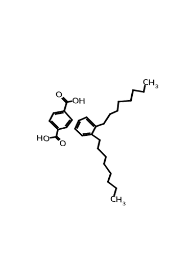 CCCCCCCCc1ccccc1CCCCCCCC.O=C(O)c1ccc(C(=O)O)cc1